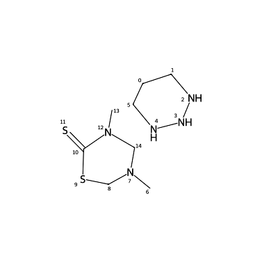 C1CNNNC1.CN1CSC(=S)N(C)C1